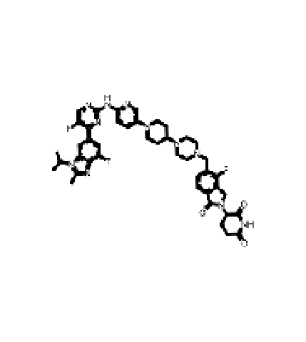 Cc1nc2c(F)cc(-c3nc(Nc4ccc(N5CCC(N6CCN(Cc7ccc8c(c7F)CN(C7CCC(=O)NC7=O)C8=O)CC6)CC5)cn4)ncc3F)cc2n1C(C)C